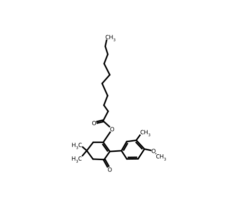 CCCCCCCCCC(=O)OC1=C(c2ccc(OC)c(C)c2)C(=O)CC(C)(C)C1